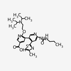 CCCNC(=O)Nc1cc(-c2nc(C)cs2)c(-c2cc(C(=O)O)cnc2OCCN(C(C)C)C(C)C)cn1